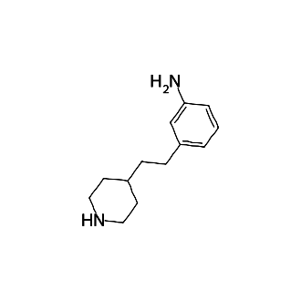 Nc1cccc(CCC2CCNCC2)c1